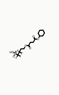 O=C(CCC(=O)OC1CCCCC1)OCCC(F)(F)C(F)(F)S(=O)(=O)O